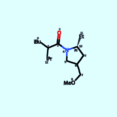 CCC(C)C(C(=O)N1CC(COC)C[C@H]1CC)C(C)C